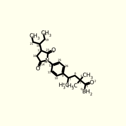 BC(=O)C(C)(C)CC(C)c1ccc(N2C(=O)CC(C(CC)CC)C2=O)cc1